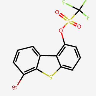 O=S(=O)(Oc1cccc2sc3c(Br)cccc3c12)C(F)(F)F